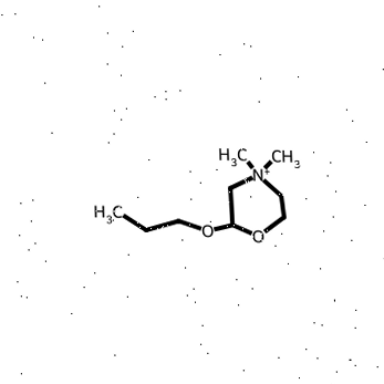 CCCOC1C[N+](C)(C)CCO1